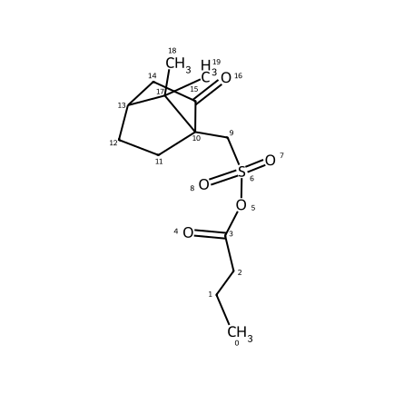 CCCC(=O)OS(=O)(=O)CC12CCC(CC1=O)C2(C)C